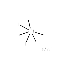 [I][Pt-2]([I])([I])([I])([I])[I].[Mn+2]